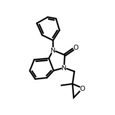 CC1(Cn2c(=O)n(-c3ccccc3)c3ccccc32)CO1